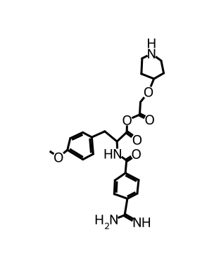 COc1ccc(CC(NC(=O)c2ccc(C(=N)N)cc2)C(=O)OC(=O)COC2CCNCC2)cc1